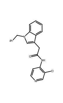 CC(C)Cn1cc(CC(=O)Nc2ccncc2Cl)c2ccccc21